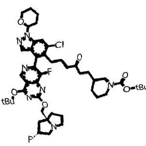 CC(C)(C)OC(=O)N1CCCC(CCC(=O)CCCc2c(Cl)cc3c(cnn3C3CCCCO3)c2-c2ncc3c(OC(C)(C)C)nc(OC[C@@]45CCCN4C[C@H](F)C5)nc3c2F)C1